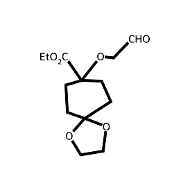 CCOC(=O)C1(OCC=O)CCC2(CC1)OCCO2